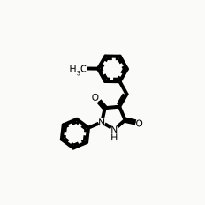 Cc1cccc(C=C2C(=O)NN(c3ccccc3)C2=O)c1